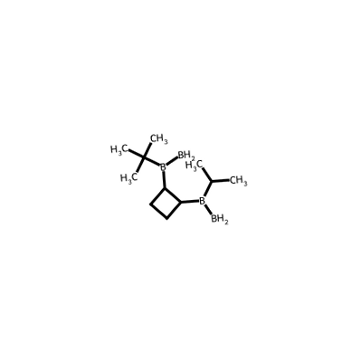 BB(C(C)C)C1CCC1B(B)C(C)(C)C